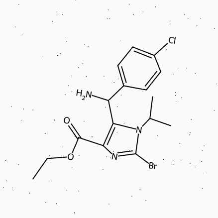 CCOC(=O)c1nc(Br)n(C(C)C)c1C(N)c1ccc(Cl)cc1